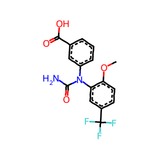 COc1ccc(C(F)(F)F)cc1N(C(N)=O)c1cccc(C(=O)O)c1